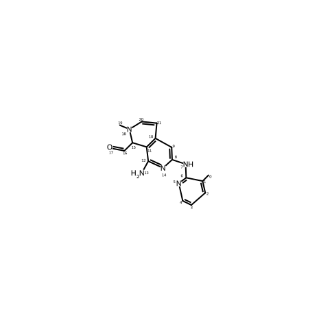 Cc1cccnc1Nc1cc2c(c(N)n1)C(C=O)N(C)C=C2